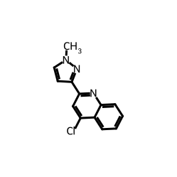 Cn1ccc(-c2cc(Cl)c3ccccc3n2)n1